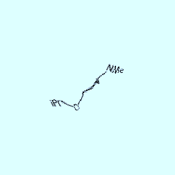 CNCCOC(C)C